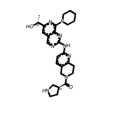 C[C@@H](O)c1cc2cnc(Nc3ccc4c(n3)CCN(C(=O)[C@H]3CCNC3)C4)nc2c(N2CCCCC2)n1